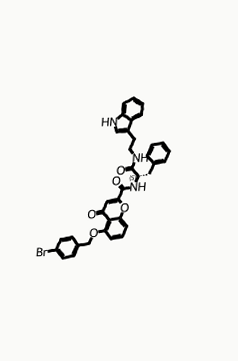 O=C(N[C@@H](Cc1ccccc1)C(=O)NCCc1c[nH]c2ccccc12)c1cc(=O)c2c(OCc3ccc(Br)cc3)cccc2o1